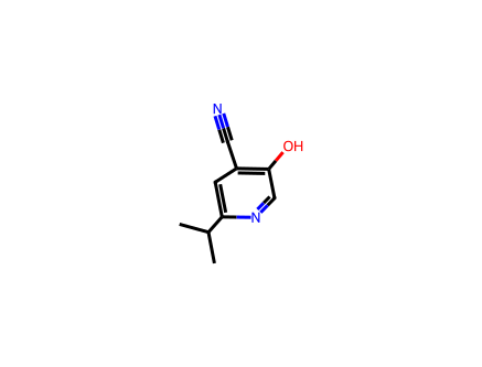 CC(C)c1cc(C#N)c(O)cn1